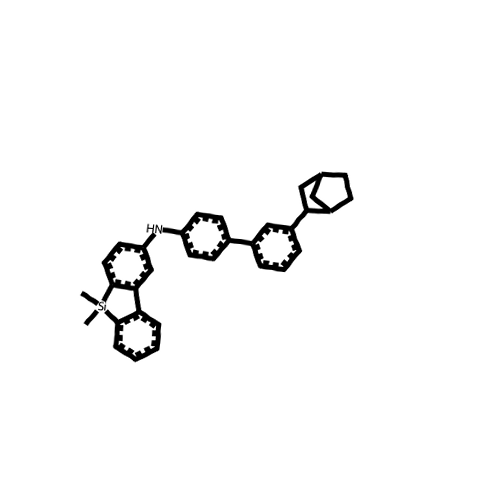 C[Si]1(C)c2ccccc2-c2cc(Nc3ccc(-c4cccc(C5CC6CCC5C6)c4)cc3)ccc21